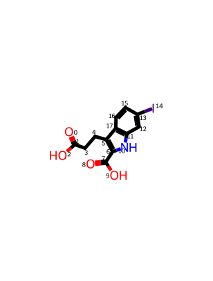 O=C(O)CCc1c(C(=O)O)[nH]c2cc(I)ccc12